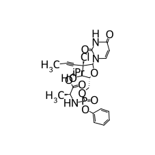 CC#C[C@@]1(Cl)C(O)[C@@H](COP(=O)(N[C@@H](C)C(=O)OC(C)C)Oc2ccccc2)O[C@H]1n1ccc(=O)[nH]c1=O